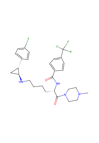 CN1CCN(C(=O)[C@H](CCCCN[C@H]2C[C@@H]2c2ccc(F)cc2)NC(=O)c2ccc(C(F)(F)F)cc2)CC1